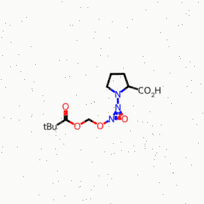 CC(C)(C)C(=O)OCOn1on1N1CCCC1C(=O)O